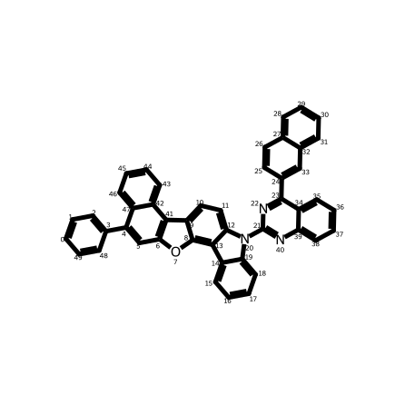 c1ccc(-c2cc3oc4c(ccc5c4c4ccccc4n5-c4nc(-c5ccc6ccccc6c5)c5ccccc5n4)c3c3ccccc23)cc1